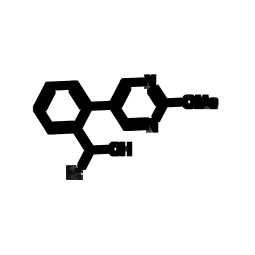 CCC(O)c1ccccc1-c1cnc(OC)nc1